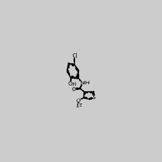 CCOc1cscc1C(=O)Nc1cc(Cl)ccc1O